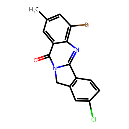 Cc1cc(Br)c2nc3n(c(=O)c2c1)Cc1cc(Cl)ccc1-3